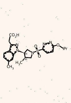 Cc1ccc2c(CC(=O)O)nn([C@H]3CN(S(=O)(=O)c4ccc(OC(C)C)nn4)C[C@H]3C)c2c1